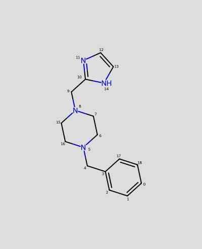 c1ccc(CN2CCN(Cc3ncc[nH]3)CC2)cc1